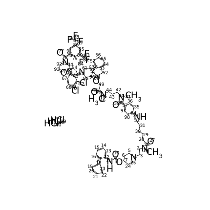 CN(CCN1CCC(OC(=O)Nc2ccccc2-c2ccccc2)CC1)C(=O)CCCCCNc1ccc(C(=O)N(C)CCCN(C)C(=O)CO[C@H]2Cc3ccccc3C23CCN(CC[C@@]2(c4ccc(Cl)c(Cl)c4)CN(C(=O)c4cc(C(F)(F)F)cc(C(F)(F)F)c4)CCO2)CC3)cc1.Cl.Cl.Cl